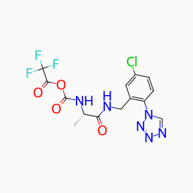 C[C@H](NC(=O)OC(=O)C(F)(F)F)C(=O)NCc1cc(Cl)ccc1-n1cnnn1